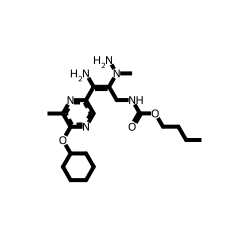 CCCCOC(=O)NC/C(=C(/N)c1cnc(OC2CCCCC2)c(C)n1)N(C)N